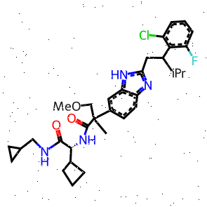 COCC(C)(C(=O)N[C@@H](C(=O)NCC1CC1)C1CCC1)c1ccc2nc(CC(c3c(F)cccc3Cl)C(C)C)[nH]c2c1